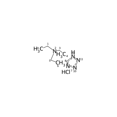 CCN(CC)CC.Cl.c1nnn[nH]1